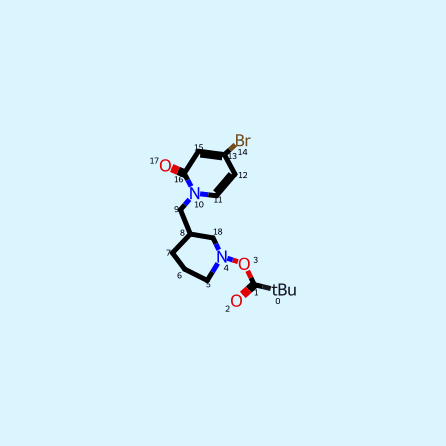 CC(C)(C)C(=O)ON1CCCC(Cn2ccc(Br)cc2=O)C1